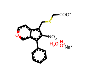 O.O.O=C([O-])CSCc1c2ccocc-2c(-c2ccccc2)c1[N+](=O)[O-].[Na+]